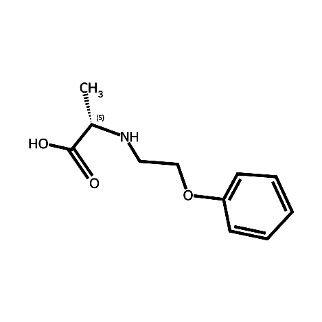 C[C@H](NCCOc1ccccc1)C(=O)O